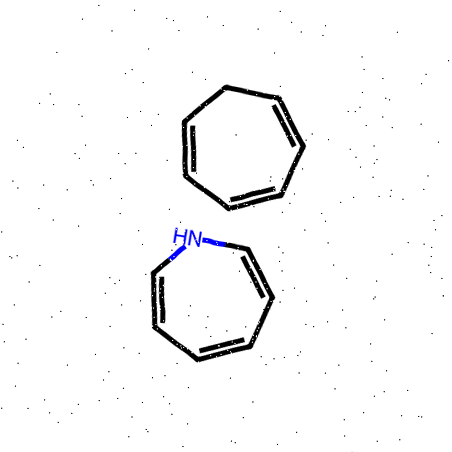 C1=CC=CCC=C1.C1=CC=CNC=C1